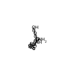 CC[C@@]12C=C(C(=O)NCC(=O)N[C@@H](CC(N)=O)C(=O)OCCOCCOCCOCCO)n3c4c(c5ccccc53)CCN(CCC1)C42